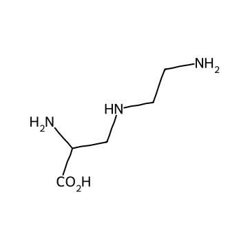 NCCNCC(N)C(=O)O